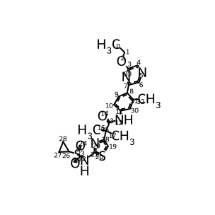 CCOc1cncc(-c2ccc(NC(=O)C(C)(C)c3csc(NS(=O)(=O)C4CC4)n3)cc2C)n1